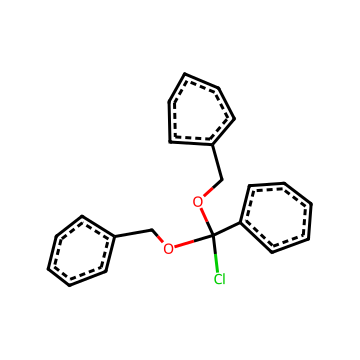 ClC(OCc1ccccc1)(OCc1ccccc1)c1ccccc1